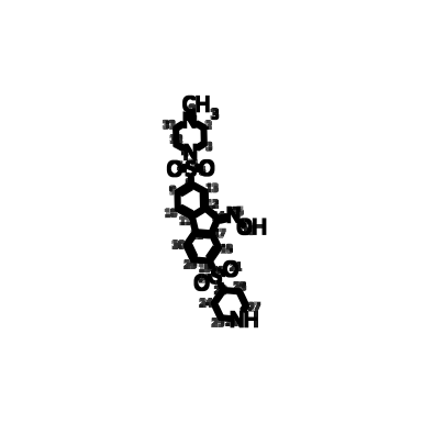 CN1CCN(S(=O)(=O)c2ccc3c(c2)/C(=N/O)c2cc(S(=O)(=O)C4CCNCC4)ccc2-3)CC1